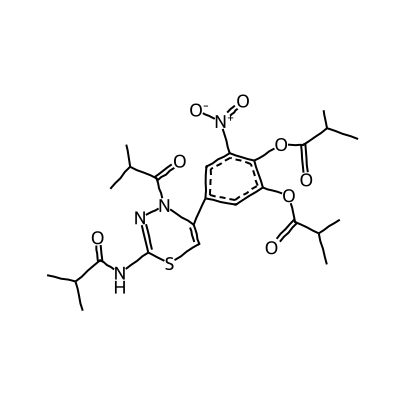 CC(C)C(=O)NC1=NN(C(=O)C(C)C)C(c2cc(OC(=O)C(C)C)c(OC(=O)C(C)C)c([N+](=O)[O-])c2)=CS1